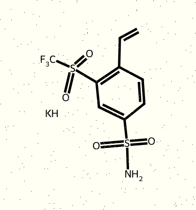 C=Cc1ccc(S(N)(=O)=O)cc1S(=O)(=O)C(F)(F)F.[KH]